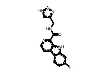 O=C(NCc1c[nH]nn1)c1nccc2c1[nH]c1cc(F)ccc12